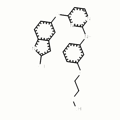 COCCOc1cccc(Nc2nccc(Oc3ccc4[nH]c(C)cc4c3)n2)c1